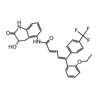 CCOc1ccccc1/C(=C/C=C/C(=O)Nc1cccc2c1CC(O)C(=O)N2)c1ccc(C(F)(F)F)cc1